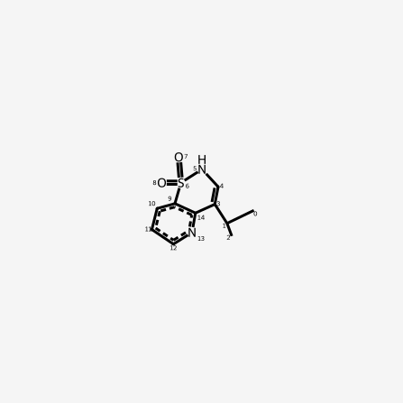 CC(C)C1=CNS(=O)(=O)c2cccnc21